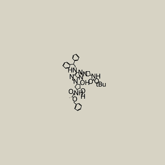 C[C@@H](OCc1ccccc1)C(=O)N[C@H]1C[C@@H](n2cnc3c(NCC(c4ccccc4)c4ccccc4)nc(N4CC[C@@H](NC(=O)OC(C)(C)C)C4)nc32)[C@H](O)[C@@H]1O